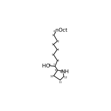 CCCCCCCCCCCCCCC(O)C1CCCN1